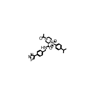 CC(=O)N1CCN(S(=O)(=O)c2ccc(C(C)C)cc2)[C@@H](C(=O)NCc2ccc(-c3csnn3)cc2)C1